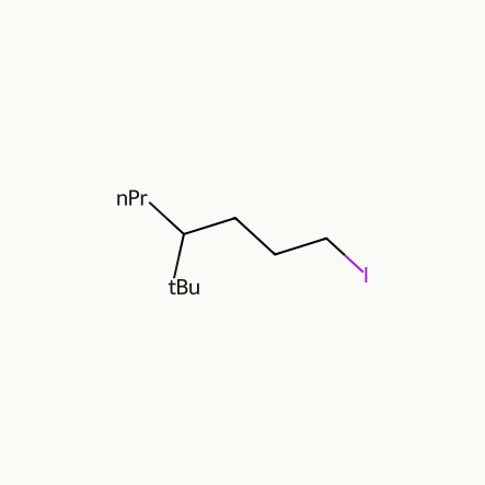 CCCC(CCCI)C(C)(C)C